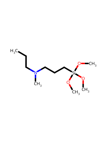 CCCN(C)CCC[Si](OC)(OC)OC